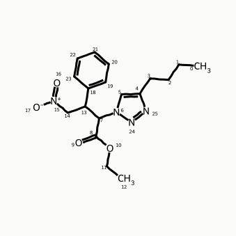 CCCCc1cn(C(C(=O)OCC)C(C[N+](=O)[O-])c2ccccc2)nn1